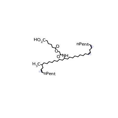 CCCCC/C=C\C/C=C\CCCCCCCCC(CCCCCCCCC(C)C/C=C\CCCCC)NC(=O)COC(=O)CCCCC(=O)O